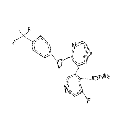 COc1c(F)cncc1-c1cccnc1Oc1ccc(C(C)(F)F)cc1